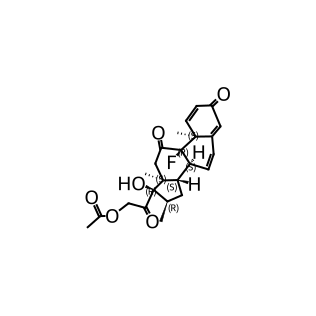 CC(=O)OCC(=O)[C@@]1(O)[C@H](C)C[C@H]2[C@@H]3C=CC4=CC(=O)C=C[C@]4(C)[C@@]3(F)C(=O)C[C@@]21C